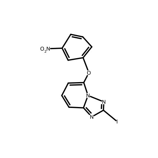 O=[N+]([O-])c1cccc(Oc2cccc3nc(I)nn23)c1